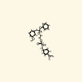 COc1cccc(CC(C)(OCCOC(=O)NCc2ccc(N(C)C)cc2)Oc2ccccn2)c1